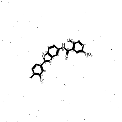 Cc1ccc(-c2nc3cc(NC(=O)c4cc([N+](=O)[O-])ccc4Cl)ccc3o2)cc1Br